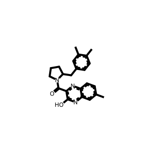 Cc1ccc2nc(C(=O)N3CCCC3Cc3ccc(C)c(C)c3)c(O)nc2c1